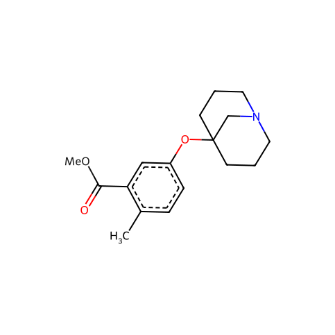 COC(=O)c1cc(OC23CCCN(CCC2)C3)ccc1C